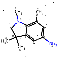 Cc1cc(N)cc2c1N(C)CC2(C)C